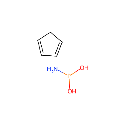 C1=CCC=C1.NP(O)O